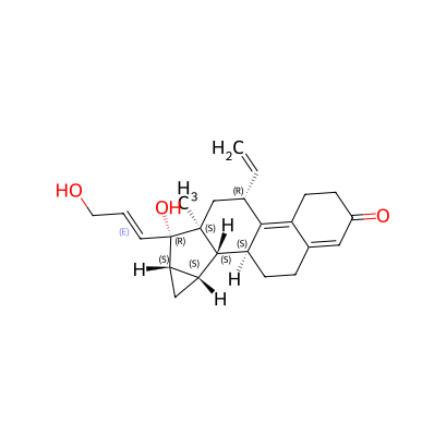 C=C[C@H]1C[C@@]2(C)[C@@H]([C@@H]3C[C@@H]3[C@@]2(O)/C=C/CO)[C@@H]2CCC3=CC(=O)CCC3=C21